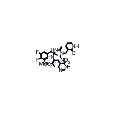 C=C(NC(C)(Cc1cc(F)c(F)c(P)c1)NC(/C=C1\CN=CN(C)C1=O)=C(/C)OC)N(CN)Cc1ccc[nH]c1=O